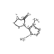 Cc1cnn(C)c1N1CCOC1=O